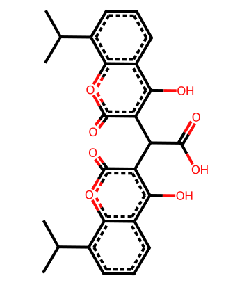 CC(C)c1cccc2c(O)c(C(C(=O)O)c3c(O)c4cccc(C(C)C)c4oc3=O)c(=O)oc12